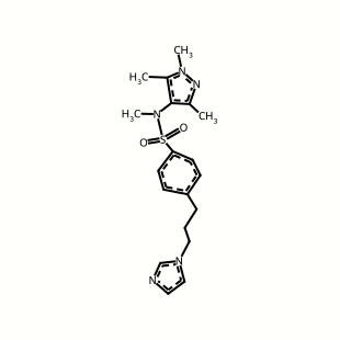 Cc1nn(C)c(C)c1N(C)S(=O)(=O)c1ccc(CCCn2ccnc2)cc1